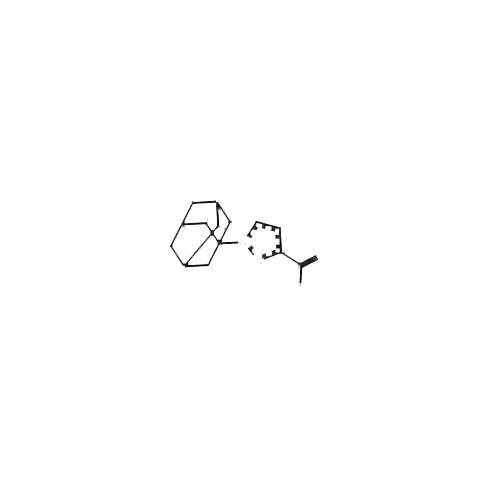 O=C(O)c1ccn(C23CC4CC(CC(C4)C2)C3)n1